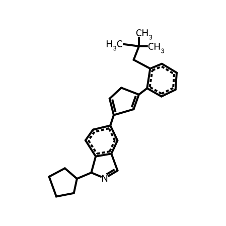 CC(C)(C)Cc1ccccc1C1=CC(c2ccc3c(c2)C=NC3C2CCCC2)=CC1